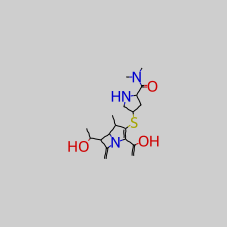 C=C(O)C1=C(SC2CNC(C(=O)N(C)C)C2)C(C)C2C(C(C)O)C(=C)N12